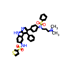 CN(C)CCCN(c1ccc(-c2cnc3[nH]c4ccc(NS(=O)(=O)c5ccsc5)cc4c3c2-c2ccccc2)cc1)S(=O)(=O)c1ccccc1